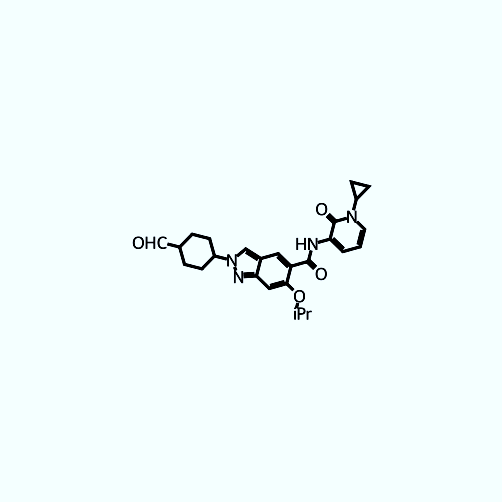 CC(C)Oc1cc2nn(C3CCC(C=O)CC3)cc2cc1C(=O)Nc1cccn(C2CC2)c1=O